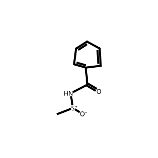 C[S+]([O-])NC(=O)c1ccccc1